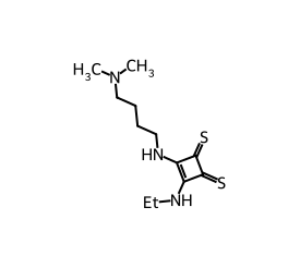 CCNc1c(NCCCCN(C)C)c(=S)c1=S